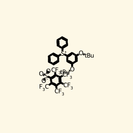 CC(C)(C)Oc1cc(OC(C)(C)C)cc([S+](c2ccccc2)c2ccccc2)c1.O=S(=O)([O-])c1c(C(F)(F)F)c(C(F)(F)F)c(C(F)(F)F)c(C(F)(F)F)c1C(F)(F)F